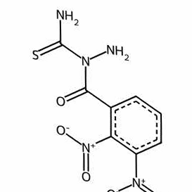 NC(=S)N(N)C(=O)c1cccc([N+](=O)[O-])c1[N+](=O)[O-]